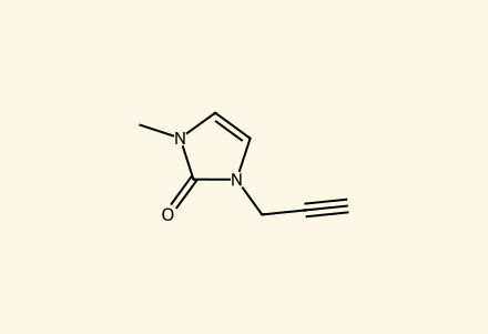 C#CCn1ccn(C)c1=O